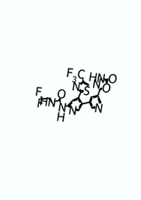 O=C(NCC(F)F)Nc1cc(-c2nc(C(F)(F)F)cs2)c(-c2cncc(-c3n[nH]c(=O)o3)c2)cn1